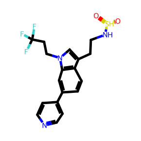 O=[SH](=O)NCCc1cn(CCC(F)(F)F)c2cc(-c3ccncc3)ccc12